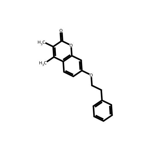 Cc1c(C)c2ccc(OCCc3ccccc3)cc2oc1=O